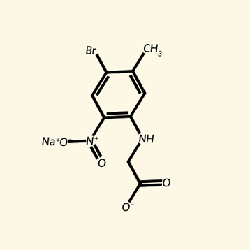 Cc1cc(NCC(=O)[O-])c([N+](=O)[O-])cc1Br.[Na+]